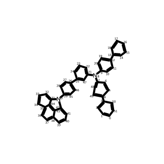 c1ccc(-c2ccc(N(c3ccc(-c4ccccc4)cc3)c3cccc(-c4ccc(-n5c6cccc7ccc8cccc5c8c76)cc4)c3)cc2)cc1